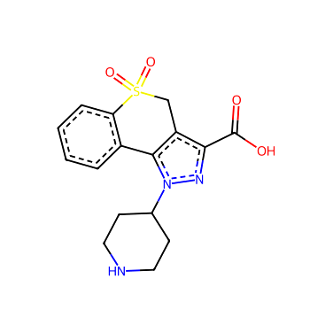 O=C(O)c1nn(C2CCNCC2)c2c1CS(=O)(=O)c1ccccc1-2